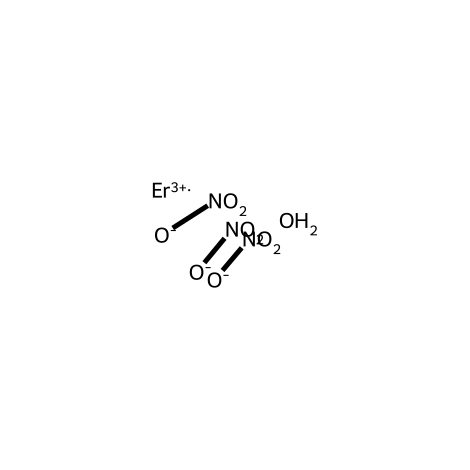 O.O=[N+]([O-])[O-].O=[N+]([O-])[O-].O=[N+]([O-])[O-].[Er+3]